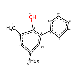 CCCCCCc1cc(C)c(O)c(-c2ccccc2)c1